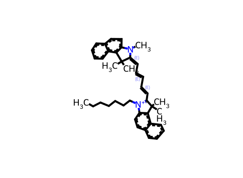 CCCCCCC[N+]1=C(/C=C/C=C/C=C2/N(C)c3ccc4ccccc4c3C2(C)C)C(C)(C)c2c1ccc1ccccc21